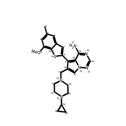 COc1cc(C)cc2cc(-c3c(CN4CCN(C5CC5)CC4)cn4ncnc(N)c34)sc12